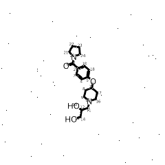 O=C(c1ccc(OC2CCN(CC(O)CO)CC2)cc1)N1CCCC1